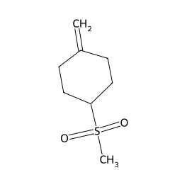 C=C1CCC(S(C)(=O)=O)CC1